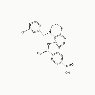 C[C@@H](Nc1nccc2c1N(Cc1cccc(Cl)c1)CCO2)c1ccc(C(=O)O)cc1